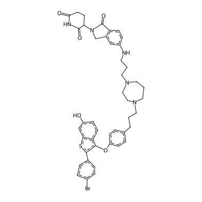 O=C1CCC(N2Cc3cc(NCCCN4CCCN(CCCc5ccc(Oc6c(-c7ccc(Br)cc7)sc7cc(O)ccc67)cc5)CC4)ccc3C2=O)C(=O)N1